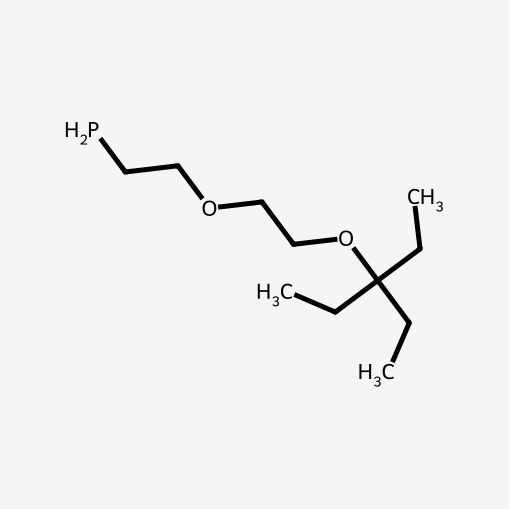 CCC(CC)(CC)OCCOCCP